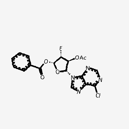 CC(=O)O[C@@H]1[C@@H](F)[C@@H](OC(=O)c2ccccc2)O[C@H]1n1cnc2c(Cl)ncnc21